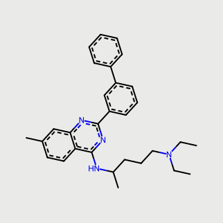 CCN(CC)CCCC(C)Nc1nc(-c2cccc(-c3ccccc3)c2)nc2cc(C)ccc12